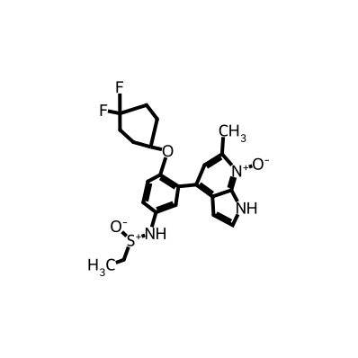 CC[S+]([O-])Nc1ccc(OC2CCC(F)(F)CC2)c(-c2cc(C)[n+]([O-])c3[nH]ccc23)c1